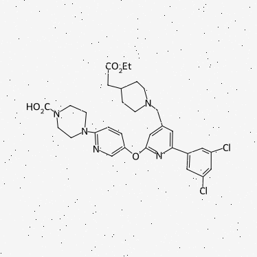 CCOC(=O)CC1CCN(Cc2cc(Oc3ccc(N4CCN(C(=O)O)CC4)nc3)nc(-c3cc(Cl)cc(Cl)c3)c2)CC1